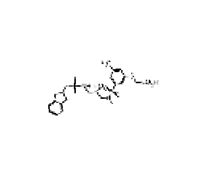 CN(C[C@H](O)CNC(C)(C)CC1Cc2ccccc2C1)S(=O)(=O)c1cc(SCC(=O)O)cc(C(F)(F)F)c1